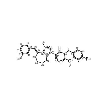 COC(=O)[C@H](Cc1ccc(F)cc1)NC(=O)c1nn(C)c2c1CCCC/C2=C\c1cccc(F)c1